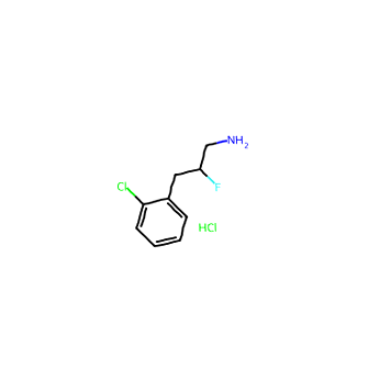 Cl.NCC(F)Cc1ccccc1Cl